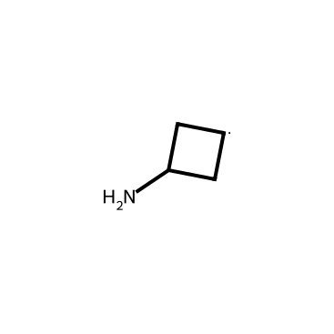 NC1C[CH]C1